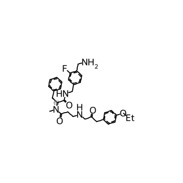 CCOc1ccc(CC(=O)CNCCC(=O)N(C)[C@@H](Cc2ccccc2)C(=O)NCc2ccc(CN)c(F)c2)cc1